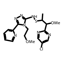 COCCn1c(NSC(C)C(OC)c2ncc(Cl)cn2)nnc1-c1ccccn1